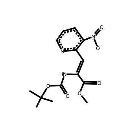 COC(=O)C(=Cc1ncccc1[N+](=O)[O-])NC(=O)OC(C)(C)C